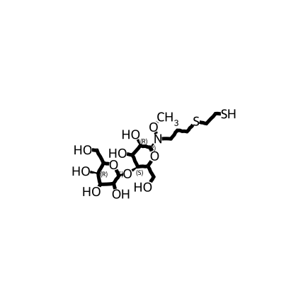 CON(CCCSCCS)[C@@H]1OC(CO)[C@@H](O[C@@H]2OC(CO)[C@H](O)C(O)C2O)C(O)[C@H]1O